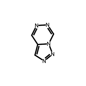 c1nncn2nncc12